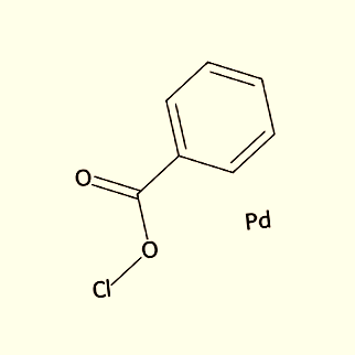 O=C(OCl)c1ccccc1.[Pd]